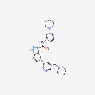 O=C(Nc1ccnc(N2CCCCC2)c1)c1n[nH]c2ccc(-c3cncc(CN4CCCCC4)c3)cc12